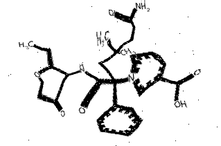 CCC1OCC(=O)C1NC(=O)C(CC(C)(C)CC(N)=O)(c1ccccc1)n1ccc(C(=O)O)c1